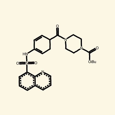 CC(C)COC(=O)N1CCN(C(=O)C2C=CC(NS(=O)(=O)c3cccc4cccnc34)=CC2)CC1